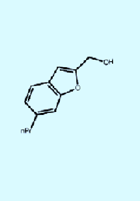 CCCc1ccc2cc(CO)oc2c1